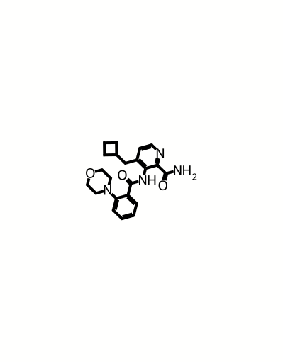 NC(=O)c1nccc(CC2CCC2)c1NC(=O)c1ccccc1N1CCOCC1